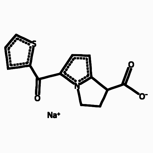 O=C(c1cccs1)c1ccc2n1CCC2C(=O)[O-].[Na+]